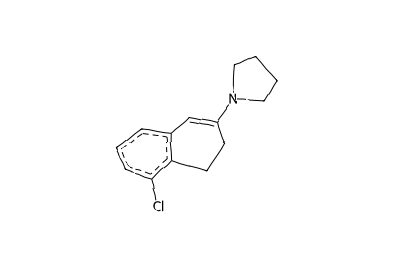 Clc1cccc2c1CCC(N1CCCC1)=C2